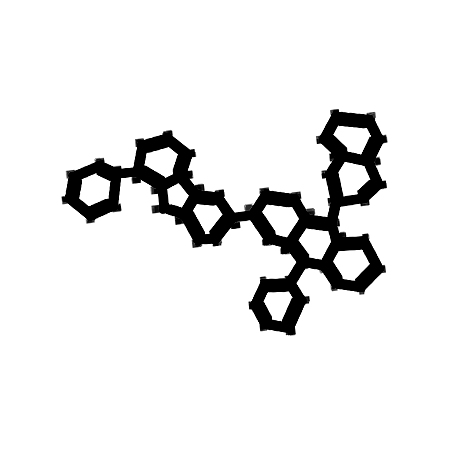 c1ccc(-c2c3ccccc3c(-c3ccc4ccccc4c3)c3ccc(-c4ccc5oc6c(-c7ccccc7)cccc6c5c4)cc23)cc1